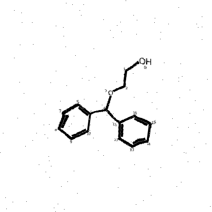 OCCOC(c1ccccc1)c1ccccc1